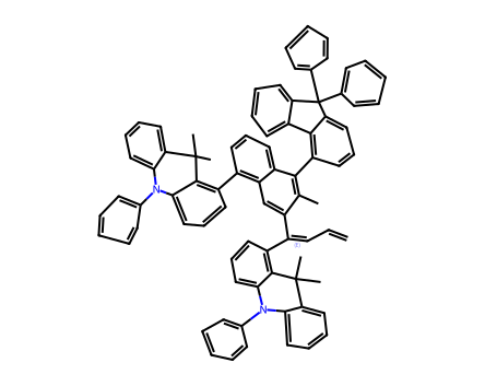 C=C/C=C(\c1cc2c(-c3cccc4c3C(C)(C)c3ccccc3N4c3ccccc3)cccc2c(-c2cccc3c2-c2ccccc2C3(c2ccccc2)c2ccccc2)c1C)c1cccc2c1C(C)(C)c1ccccc1N2c1ccccc1